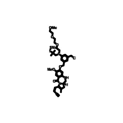 C#C/C=C\C1=C(C)C[C@H]2CNc3cc(OCc4cc(CCl)cc(N(CCOCCOCCOC)CC(C)(C)SSC)c4)c(OC)cc3C(=O)N12